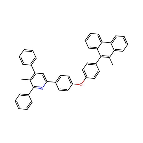 Cc1c(-c2ccccc2)cc(-c2ccc(Oc3ccc(-c4c(C)c5ccccc5c5ccccc45)cc3)cc2)nc1-c1ccccc1